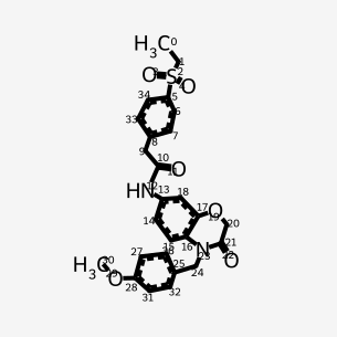 CCS(=O)(=O)c1ccc(CC(=O)Nc2ccc3c(c2)OCC(=O)N3Cc2ccc(OC)cc2)cc1